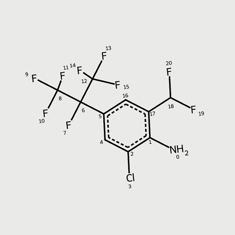 Nc1c(Cl)cc(C(F)(C(F)(F)F)C(F)(F)F)cc1C(F)F